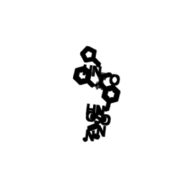 Cn1cnc(S(=O)(=O)NCc2ccc3c(c2)[C@H](Cc2ccccc2)[C@H](NCC2CCCC2)CO3)c1